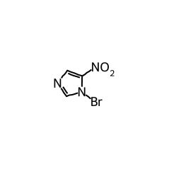 O=[N+]([O-])c1cncn1Br